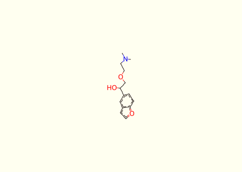 CN(C)CCOCC(O)c1ccc2occc2c1